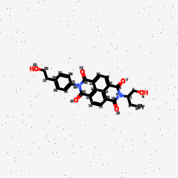 CC(C)CC(CO)N1C(=O)c2ccc3c4c(ccc(c24)C1=O)C(=O)N(c1ccc(CCO)cc1)C3=O